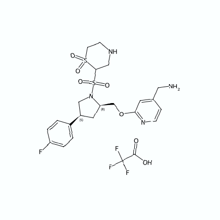 NCc1ccnc(OC[C@H]2C[C@@H](c3ccc(F)cc3)CN2S(=O)(=O)C2CNCCS2(=O)=O)c1.O=C(O)C(F)(F)F